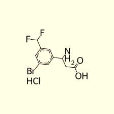 Cl.NC(CC(=O)O)c1cc(Br)cc(C(F)F)c1